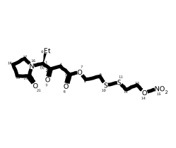 CC[C@@H](C(=O)CC(=O)OCCSSCCO[N+](=O)[O-])N1CCCC1=O